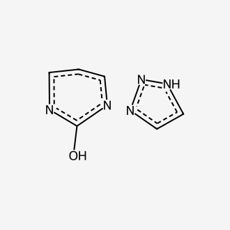 Oc1ncccn1.c1c[nH]nn1